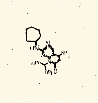 CCCC(CCC)n1c(=O)cc(N)c2cnc(NC3CCCCC3)nc21